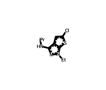 CCn1nc(NC(C)C)c2cc(Cl)sc21